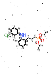 CCOP(=O)(CCCc1ccccc1Nc1cccc(Cl)c1C)OCC